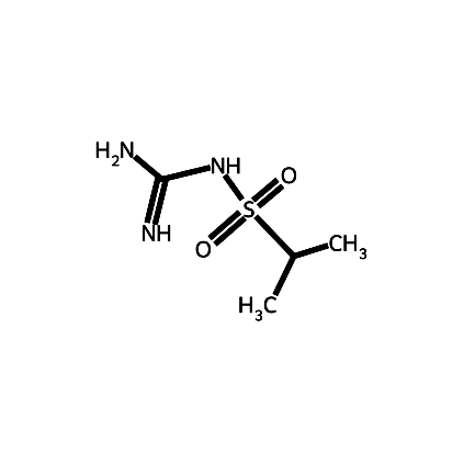 CC(C)S(=O)(=O)NC(=N)N